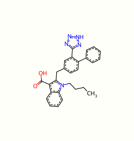 CCCCn1c(Cc2ccc(-c3ccccc3)c(-c3nn[nH]n3)c2)c(C(=O)O)c2ccccc21